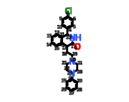 O=C1NC(c2ccc(Cl)cc2)c2ccccc2C1CCN1CCN(c2ccccc2)CC1